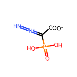 N=[N+]=C(C(=O)[O-])P(=O)(O)O